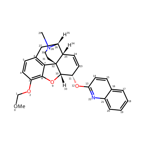 COCOc1ccc2c3c1O[C@H]1[C@@H](Oc4ccc5ccccc5n4)C=C[C@H]4[C@@H](C2)N(C)CC[C@@]341